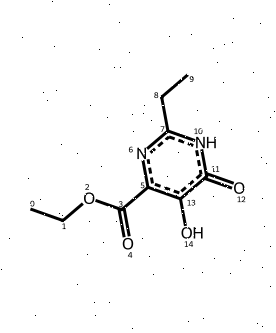 CCOC(=O)c1nc(CC)[nH]c(=O)c1O